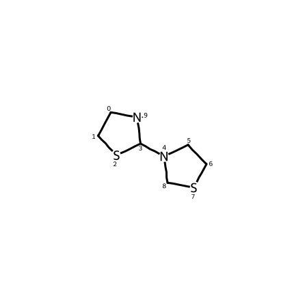 C1CSC(N2CCSC2)[N]1